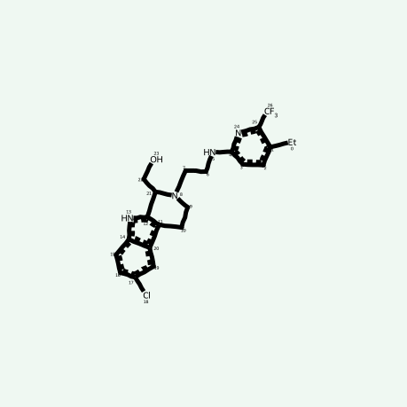 CCc1ccc(NCCN2CCc3c([nH]c4ccc(Cl)cc34)C2CO)nc1C(F)(F)F